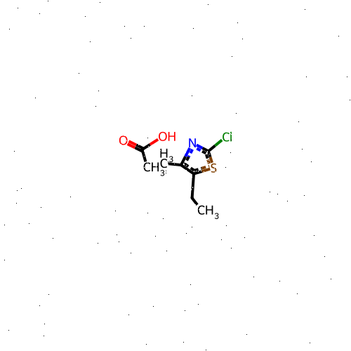 CC(=O)O.CCc1sc(Cl)nc1C